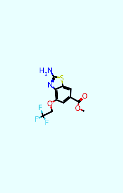 COC(=O)c1cc(OCC(F)(F)F)c2nc(N)sc2c1